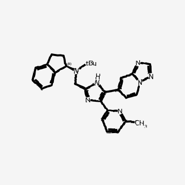 Cc1cccc(-c2nc(CN([C@@H]3CCc4ccccc43)C(C)(C)C)[nH]c2-c2ccn3ncnc3c2)n1